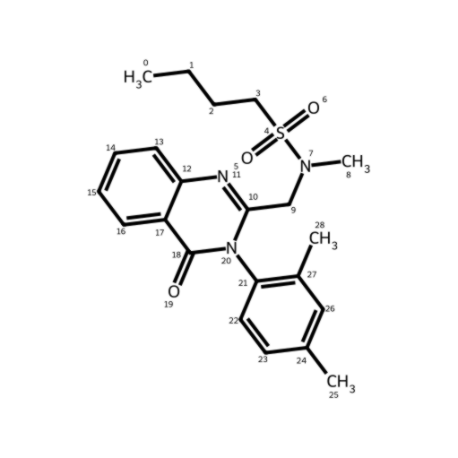 CCCCS(=O)(=O)N(C)Cc1nc2ccccc2c(=O)n1-c1ccc(C)cc1C